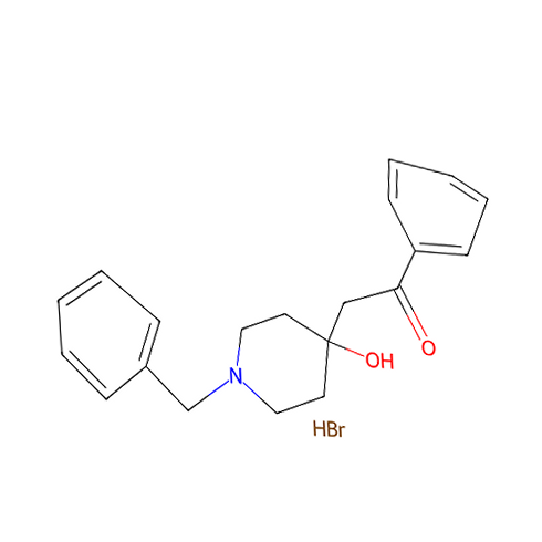 Br.O=C(CC1(O)CCN(Cc2ccccc2)CC1)c1ccccc1